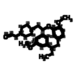 CCN(Cc1ccc(OC)c(OCCN2CCN(CC=O)CC2)c1)c1cccc(OC)c1